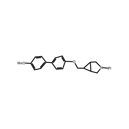 COc1ccc(-c2ccc(OCC3C4CN(C(C)C)CC34)cc2)cc1